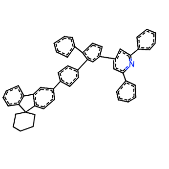 c1ccc(-c2cc(-c3ccc(-c4ccccc4)c(-c4ccc(-c5ccc6c(c5)-c5ccccc5C65CCCCC5)cc4)c3)cc(-c3ccccc3)n2)cc1